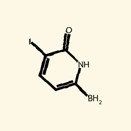 Bc1ccc(I)c(=O)[nH]1